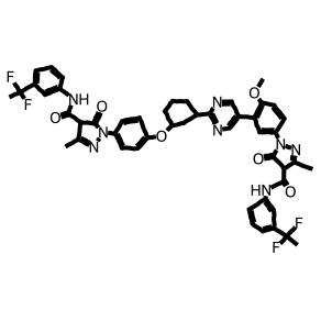 COc1ccc(N2N=C(C)C(C(=O)Nc3cccc(C(C)(F)F)c3)C2=O)cc1-c1cnc(C2CCCC(Oc3ccc(N4N=C(C)C(C(=O)Nc5cccc(C(C)(F)F)c5)C4=O)cc3)C2)nc1